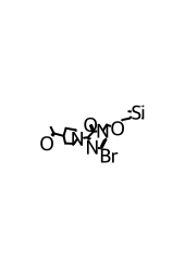 CC(=O)C1CCN(c2nc(Br)cn(COCC[Si](C)(C)C)c2=O)CC1